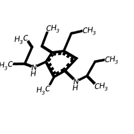 CCc1cc(NC(C)CC)c(C)c(NC(C)CC)c1CC